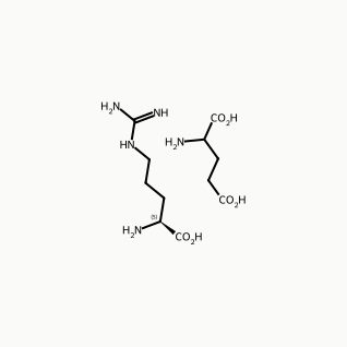 N=C(N)NCCC[C@H](N)C(=O)O.NC(CCC(=O)O)C(=O)O